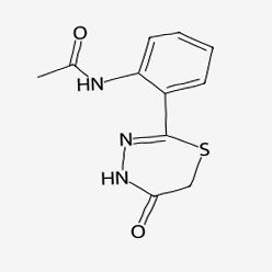 CC(=O)Nc1ccccc1C1=NNC(=O)CS1